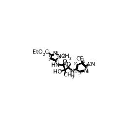 CCOC(=O)c1cc(NC(=O)C(C)(O)C(=O)Nc2cnc(C#N)c(C(F)(F)F)c2)n(C)n1